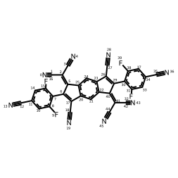 N#CC(C#N)=C1C(c2c(F)cc(C#N)cc2F)=C(C#N)c2cc3c(cc21)C(C#N)=C(c1c(F)cc(C#N)cc1F)C3=C(C#N)C#N